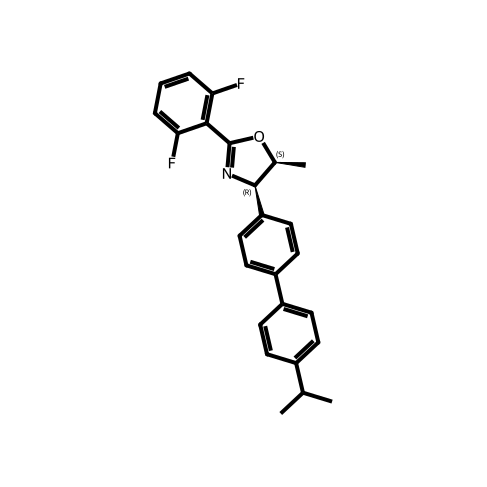 CC(C)c1ccc(-c2ccc([C@H]3N=C(c4c(F)cccc4F)O[C@H]3C)cc2)cc1